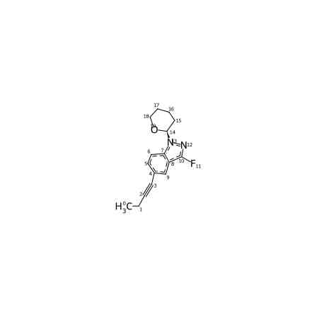 CCC#Cc1ccc2c(c1)c(F)nn2[C@@H]1CCCCO1